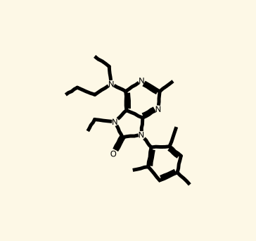 CCCN(CC)c1nc(C)nc2c1n(CC)c(=O)n2-c1c(C)cc(C)cc1C